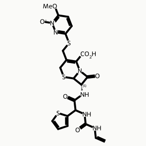 C=CNC(=O)NC(C(=O)N[C@H]1C(=O)N2C(C(=O)O)=C(CSc3ccc(OC)[n+]([O-])n3)CSC12)c1cccs1